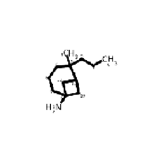 CCCC1(C)CCCC2(N)CC1C2